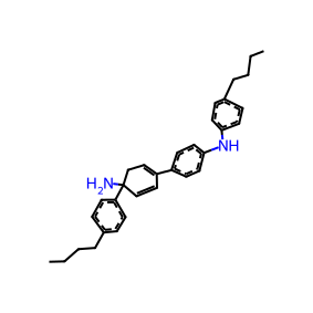 CCCCc1ccc(Nc2ccc(C3=CCC(N)(c4ccc(CCCC)cc4)C=C3)cc2)cc1